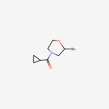 CC(C)(C)C1CN(C(=O)C2CC2)CCO1